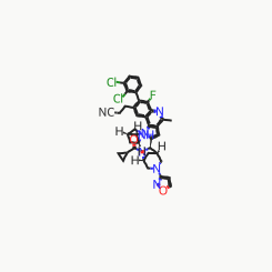 Cc1nc2c(F)c(-c3cccc(Cl)c3Cl)c(CCC#N)cc2c2c1cc([C@H]1[C@H]3C[C@H](CN(c4ccon4)C3)N1C(=O)C1CC1)n2[C@H]1[C@H]2CN[C@@H]1C2